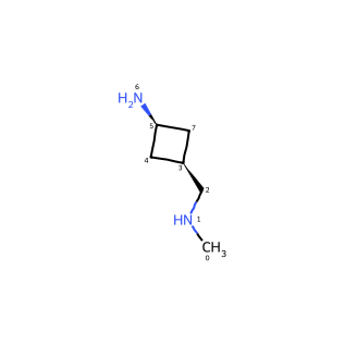 CNC[C@H]1C[C@@H](N)C1